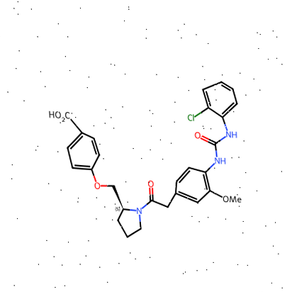 COc1cc(CC(=O)N2CCC[C@H]2COc2ccc(C(=O)O)cc2)ccc1NC(=O)Nc1ccccc1Cl